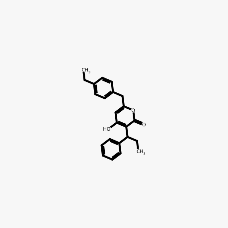 CCc1ccc(Cc2cc(O)c(C(CC)c3ccccc3)c(=O)o2)cc1